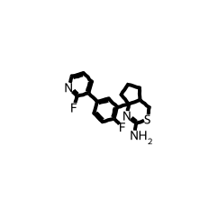 NC1=NC2(c3cc(-c4cccnc4F)ccc3F)CCCC2CS1